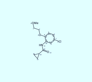 COCCOc1ccc(Cl)cc1NC(=O)C1CC1